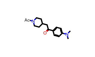 CC(=O)N1CCC(CC(=O)c2ccc(N(C)C)cc2)CC1